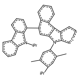 Cc1cc(-n2c3ccccc3c3c4ccccc4c(-c4cccc5c6ccccc6n(C(C)C)c45)cc32)c(C)cc1C(C)C